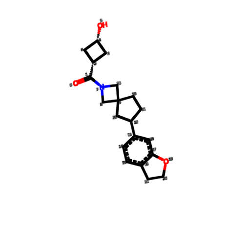 O=C([C@H]1C[C@@H](O)C1)N1CC2(CCC(c3ccc4c(c3)OCC4)C2)C1